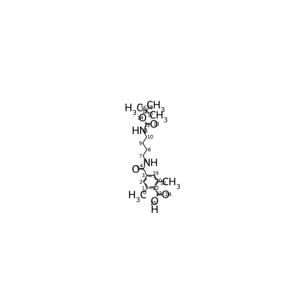 Cc1cc(C(=O)NCCCCNC(=O)OC(C)(C)C)cc(C)c1C(=O)O